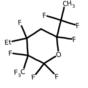 CCC1(F)CC(F)(C(C)(F)F)OC(F)(F)C1(F)C(F)(F)F